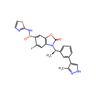 Cc1n[nH]cc1-c1cccc([C@@H](C)n2c(=O)oc3cc([S+]([O-])Nc4nccs4)c(F)cc32)c1